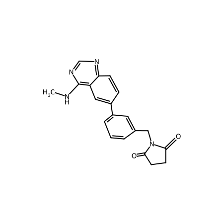 CNc1ncnc2ccc(-c3cccc(CN4C(=O)CCC4=O)c3)cc12